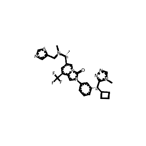 C[C@H](c1cc(C(F)(F)F)c2cn(-c3cccc([C@H](c4nncn4C)C4CCC4)c3)c(=O)n2c1)N(C)Cc1cncs1